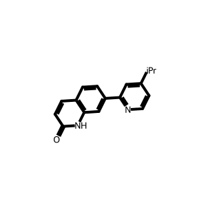 CC(C)c1ccnc(-c2ccc3ccc(=O)[nH]c3c2)c1